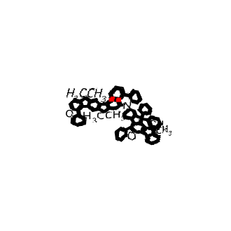 CC1(C)c2cc(N(c3ccc4c(c3)C(c3ccccc3)(c3ccccc3)c3c5c(c6oc7ccccc7c6c3-4)-c3ccccc3C5(C)C)c3ccccc3-c3ccccc3)ccc2-c2cc3c(cc21)-c1c(ccc2oc4ccccc4c12)C3(C)C